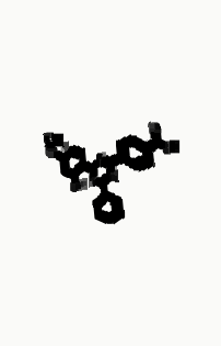 COc1ccc(-c2nc(-c3ccccc3)nc(-c3ccc(C(=O)O)cc3)n2)c(O)c1